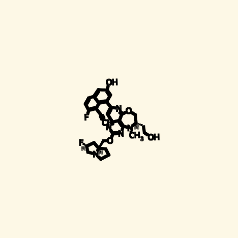 C#Cc1c(F)ccc2cc(O)cc(-c3cc4nc(OC[C@@]56CCCN5C[C@H](F)C6)nc5c4c(n3)OC[C@H](CCO)N5C)c12